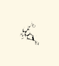 Cc1noc(-c2ccc(Br)cc2)c1/C=N/[S+](C)[O-]